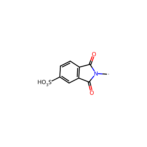 [CH2]N1C(=O)c2ccc(S(=O)(=O)O)cc2C1=O